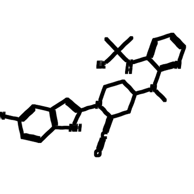 CCC(C)(C)Nc1cccnc1N(C)C1CCN(c2cc3cc([N+](=O)[O-])ccc3[nH]2)C(=C=O)C1